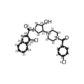 O=C(c1ccc(Cl)cc1)N1CCN(C2CN(C(=O)c3sc4ccccc4c3Cl)CC2O)CC1